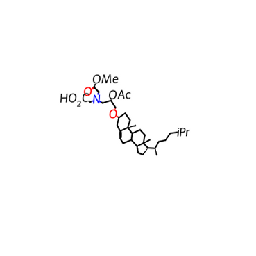 COC(=O)CN(CC(=O)O)CC(CO[C@H]1CC[C@@]2(C)C(=CCC3C4CC[C@H]([C@H](C)CCCC(C)C)C4(C)CCC32)C1)OC(C)=O